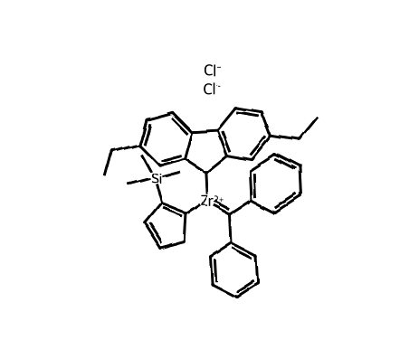 CCc1ccc2c(c1)[CH]([Zr+2]([C]1=C([Si](C)(C)C)C=CC1)=[C](c1ccccc1)c1ccccc1)c1cc(CC)ccc1-2.[Cl-].[Cl-]